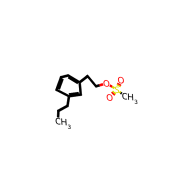 CCCc1cccc(CCOS(C)(=O)=O)c1